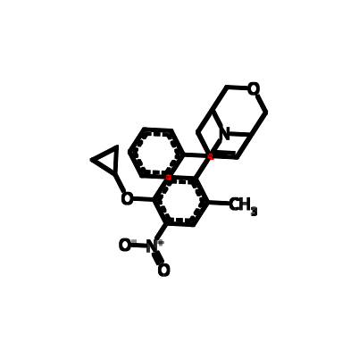 Cc1cc([N+](=O)[O-])c(OC2CC2)cc1C1=CC2COCC(C1)N2Cc1ccccc1